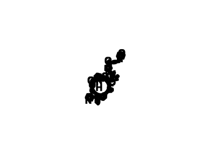 CCn1c(-c2cccnc2)c2c3cc(ccc31)-c1csc(c1)C[C@H](NC(=O)[C@H](C(C)C)N(C)CC1CCN(C(=O)C#CCN3CCOCC3)C1)C(=O)N1CCC[C@H](N1)C(=O)OCC(C)(C)C2